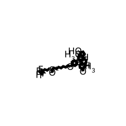 C[C@]12CCC(=O)C[C@@H]1CC[C@@H]1[C@@H]2[C@@H](c2ccc(OCCCCCCC[S+]([O-])CCCC(F)(F)C(F)(F)F)cc2)C[C@]2(C)[C@@H](O)CC[C@@H]12